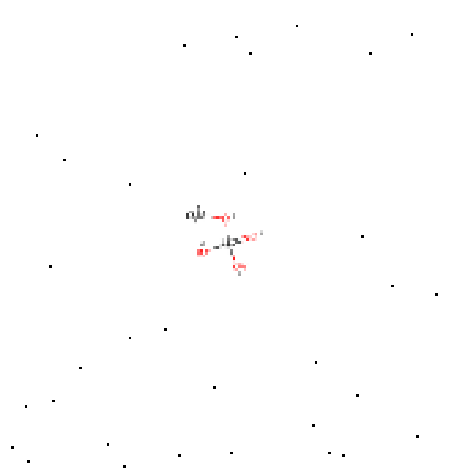 O=[N+]([O-])O[As](=O)(O)O